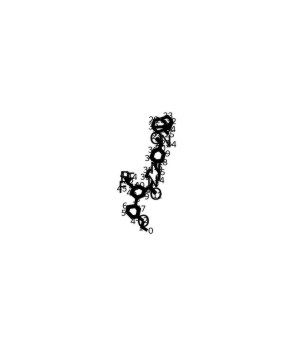 CCOc1cccc(-c2cc(C(=O)N3CCN(c4ccc(C(=O)N(C)CC56CC7CC(CC(C7)C5)C6)cc4)CC3)cc(C(F)(F)F)c2)c1